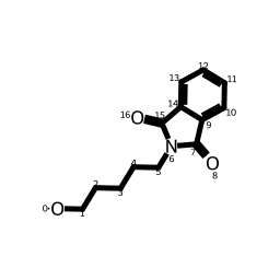 [O]CCCCCN1C(=O)c2ccccc2C1=O